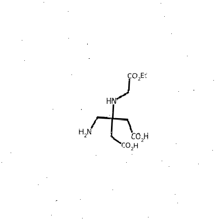 CCOC(=O)CNC(CN)(CC(=O)O)CC(=O)O